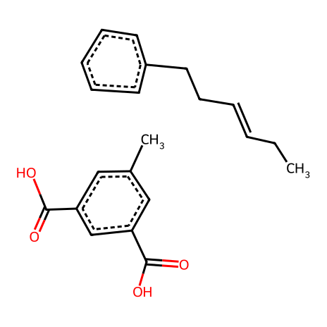 CCC=CCCc1ccccc1.Cc1cc(C(=O)O)cc(C(=O)O)c1